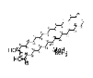 CCCCCCCCCCCCCCCCCC(=O)O.CCCCCCCCCCCCCCCCCC(=O)O.[MgH2].[PbH2]